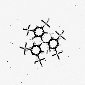 C[Si](C)(C)c1cc([Si](C)(C)C)c(F)c(B(c2c(F)c([Si](C)(C)C)cc([Si](C)(C)C)c2F)c2c(F)c([Si](C)(C)C)cc([Si](C)(C)C)c2F)c1F